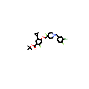 CC(C)(C)OC(=O)c1cc(C2CC2)c(OCC2(F)CCN(Cc3ccc(F)c(Cl)c3)CC2)cc1F